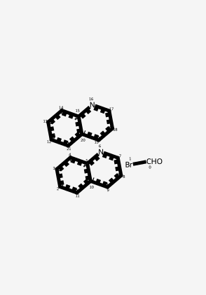 O=CBr.c1ccc2ncccc2c1.c1ccc2ncccc2c1